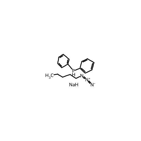 CCCCCN=[N+]=[N-].[NaH].c1ccc(Pc2ccccc2)cc1